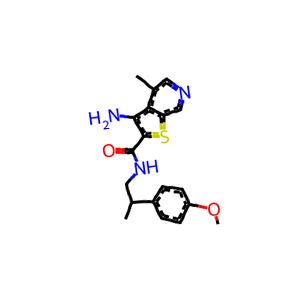 COc1ccc(C(C)CNC(=O)c2sc3cncc(C)c3c2N)cc1